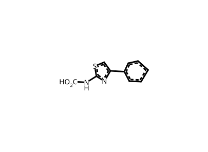 O=C(O)Nc1nc(-c2ccccc2)cs1